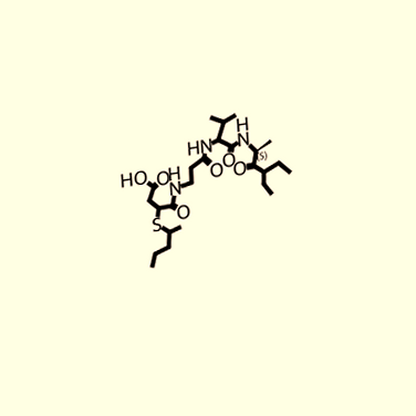 CCCC(C)SC(CC(=O)O)C(=O)NCCC(=O)NC(C(=O)N[C@@H](C)C(=O)C(CC)CC)C(C)C